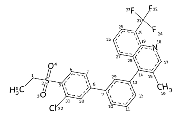 CCS(=O)(=O)c1ccc(-c2cccc(-c3c(C)cnc4c(C(F)(F)F)cccc34)c2)cc1Cl